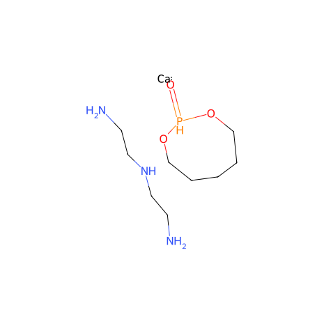 NCCNCCN.O=[PH]1OCCCCCO1.[Ca]